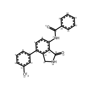 O=C(Nc1ccc(-c2cccc(C(F)(F)F)c2)c2c1C(=O)NC2)c1ccccc1